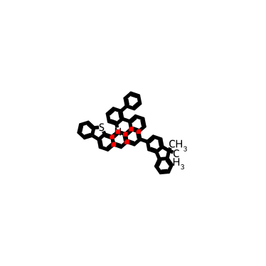 CC1(C)c2ccccc2-c2cc(-c3ccc(N(c4cccc(-c5ccccc5)c4-c4ccccc4-c4ccccc4)c4cccc5c4sc4ccccc45)cc3)ccc21